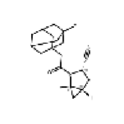 N#C[C@@H]1C[C@@H]2C[C@@H]2N1C(=O)CC12CC3CC(CC(F)(C3)C1)C2